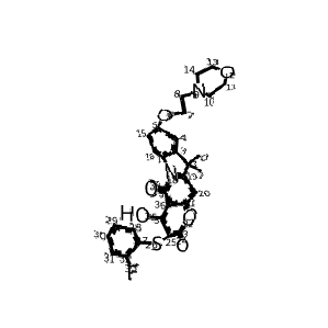 CC1(C)c2cc(OCCN3CCOCC3)ccc2-n2c1cc1oc(=O)c(Sc3ccccc3F)c(O)c1c2=O